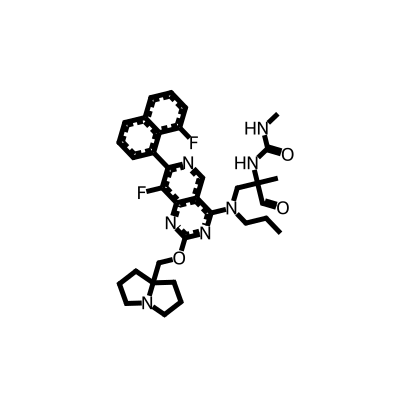 CCCN(CC(C)(C=O)NC(=O)NC)c1nc(OCC23CCCN2CCC3)nc2c(F)c(-c3cccc4cccc(F)c34)ncc12